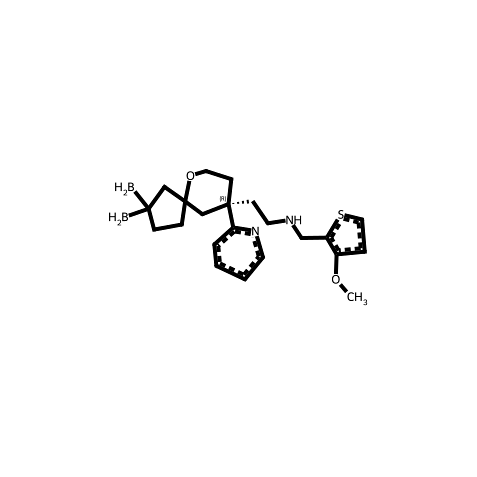 BC1(B)CCC2(C1)C[C@](CCNCc1sccc1OC)(c1ccccn1)CCO2